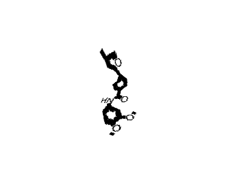 COc1ccc(NC(=O)c2ccc(-c3cc(C)co3)cc2)cc1OC